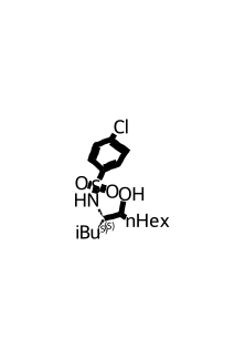 CCCCCCC(O)[C@@H](NS(=O)(=O)c1ccc(Cl)cc1)[C@@H](C)CC